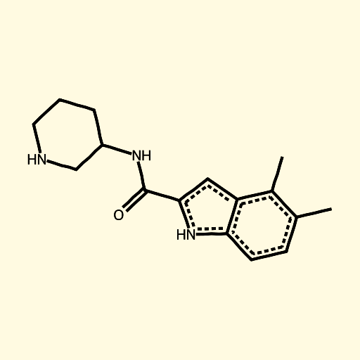 Cc1ccc2[nH]c(C(=O)NC3CCCNC3)cc2c1C